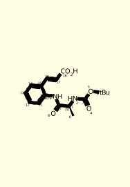 C[C@H](NC(=O)OC(C)(C)C)C(=O)Nc1ccccc1C=CC(=O)O